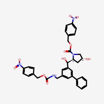 O=C(NCc1cc(-c2ccccc2)cc(C(O)[C@@H]2C[C@@H](O)CN2C(=O)OCc2ccc([N+](=O)[O-])cc2)c1)OCc1ccc([N+](=O)[O-])cc1